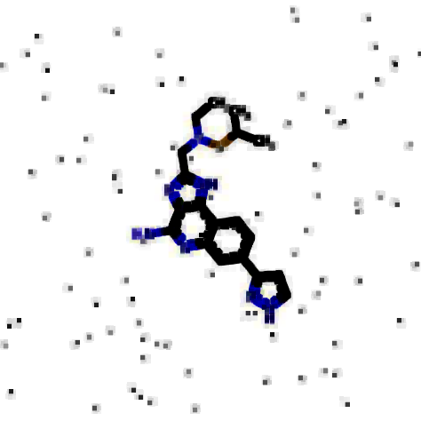 CCN(Cc1nc2c(N)nc3cc(-c4cc[nH]n4)ccc3c2[nH]1)SC(C)C